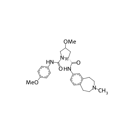 COc1ccc(NC(=O)N2CC(OC)C[C@@H]2C(=O)Nc2ccc3c(c2)CCN(C)CC3)cc1